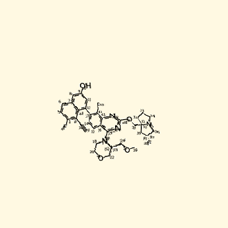 C#Cc1c(F)ccc2cc(O)cc(-c3ccc4c(N5CCOC[C@@H]5COC)nc(OC[C@@]56CCCN5C[C@H](F)C6)nc4c3F)c12